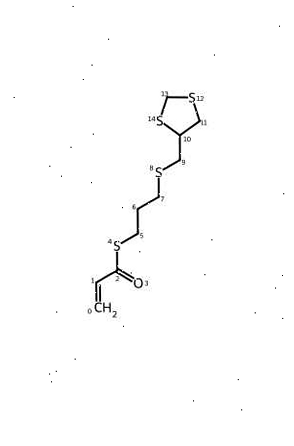 C=CC(=O)SCCCSCC1CSCS1